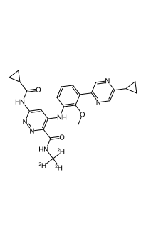 [2H]C([2H])([2H])NC(=O)c1nnc(NC(=O)C2CC2)cc1Nc1cccc(-c2cnc(C3CC3)cn2)c1OC